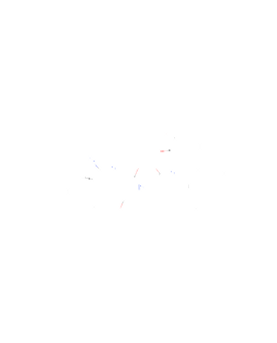 COCC(NC(=O)C(Nc1cc(C)on1)C(C=O)SC)C(=O)NC(CC(C)C)C(=O)C1(C)CO1